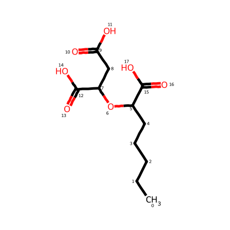 CCCCCC(OC(CC(=O)O)C(=O)O)C(=O)O